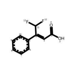 O=C(O)/C=C(/c1ccccc1)C(F)F